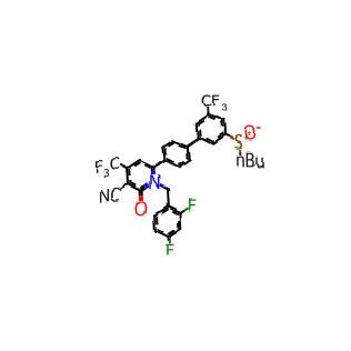 CCCC[S+]([O-])c1cc(-c2ccc(-c3cc(C(F)(F)F)c(C#N)c(=O)n3Cc3ccc(F)cc3F)cc2)cc(C(F)(F)F)c1